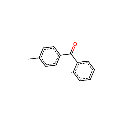 Cc1ccc(C(=O)c2[c]cccc2)cc1